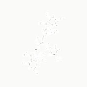 CCCN1/C(=C/C=C2\CCC(/C=C/C3=[N+](CCC)c4c(F)cc(F)cc4C3(C)C)=C2SCc2nnc(C)s2)C(C)(C)c2cc(F)cc(F)c21